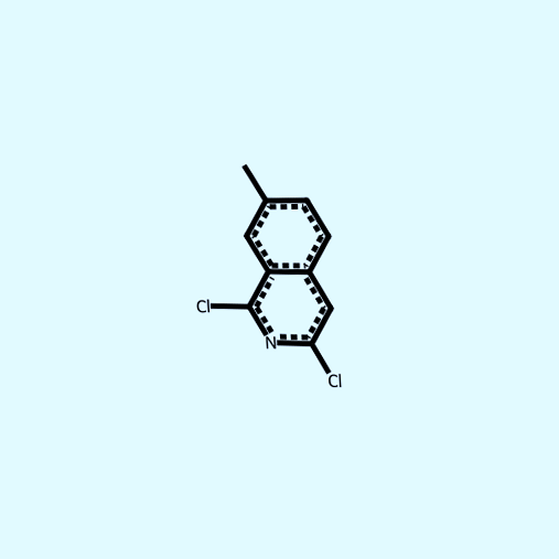 Cc1ccc2cc(Cl)nc(Cl)c2c1